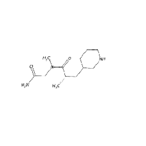 C[C@@H](CC1CCCNC1)C(=O)N(C)CC(N)=O